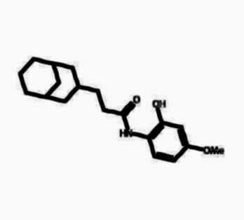 COc1ccc(NC(=O)CCC2CC3CCCC(C3)C2)c(O)c1